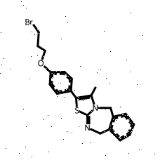 CC1=C(c2ccc(OCCCBr)cc2)SC2=NCc3ccccc3CN21